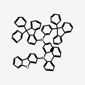 c1ccc(-c2ccccc2N(c2cccc(N(c3cccc(C4(c5ccccc5)c5ccccc5-c5ccccc54)c3)c3cccc4c3-c3ccccc3C4(c3ccccc3)c3ccccc3)c2)c2ccc3c(c2)oc2ccccc23)cc1